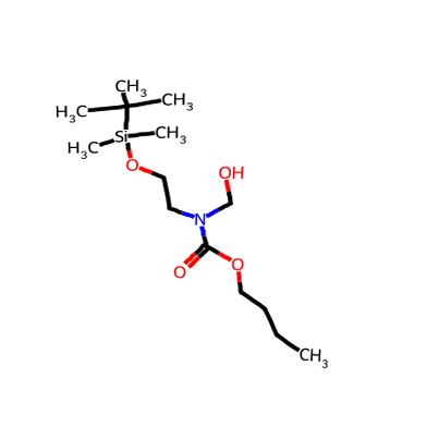 CCCCOC(=O)N(CO)CCO[Si](C)(C)C(C)(C)C